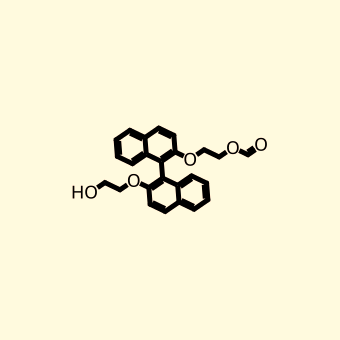 O=COCCOc1ccc2ccccc2c1-c1c(OCCO)ccc2ccccc12